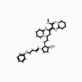 COC(=O)/C(OC1CCCCO1)=C(/CCCC[C@H]1[C@@H](O)CC[C@@H]1/C=C/CCOc1ccccc1)OC1CCCCO1